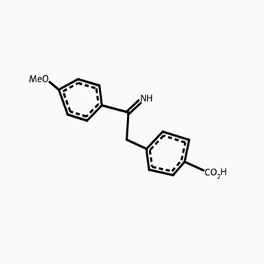 COc1ccc(C(=N)Cc2ccc(C(=O)O)cc2)cc1